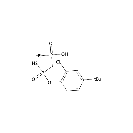 CC(C)(C)c1ccc(OP(=O)(S)CP(=O)(O)S)c(Cl)c1